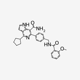 COc1ccccc1C(=O)NCc1ccc(-c2nc(C3CCCC3)c3cc[nH]c3c2C(N)=O)cc1